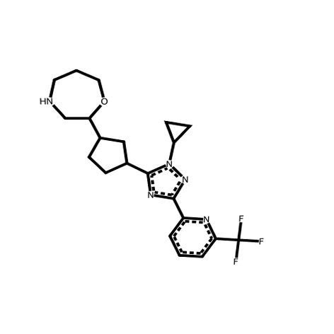 FC(F)(F)c1cccc(-c2nc(C3CCC(C4CNCCCO4)C3)n(C3CC3)n2)n1